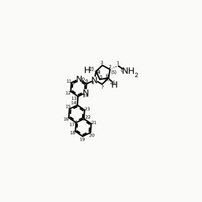 NC[C@H]1C[C@H]2C[C@H]1CN2c1nccc(-c2ccc3ccccc3c2)n1